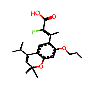 CCCOc1cc2c(cc1C(C)=C(F)C(=O)O)C(C(C)C)=CC(C)(C)O2